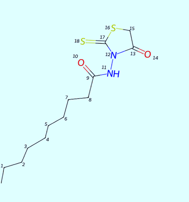 CCCCCCCCCC(=O)NN1C(=O)CSC1=S